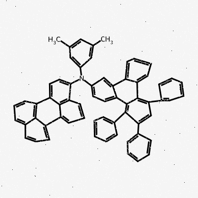 Cc1cc(C)cc(N(c2ccc3c(c2)c2ccccc2c2c(-c4ccccc4)cc(-c4ccccc4)c(-c4ccccc4)c32)c2ccc3c4cccc5cccc(c6cccc2c63)c54)c1